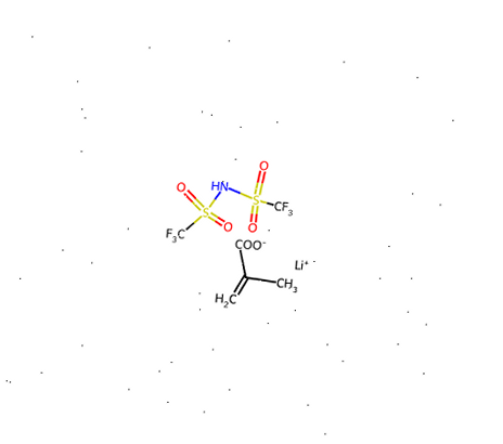 C=C(C)C(=O)[O-].O=S(=O)(NS(=O)(=O)C(F)(F)F)C(F)(F)F.[Li+]